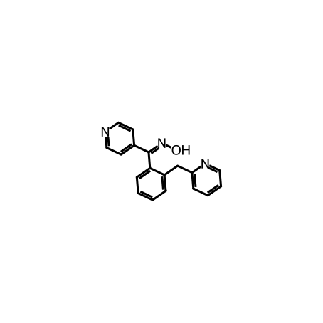 ON=C(c1ccncc1)c1ccccc1Cc1ccccn1